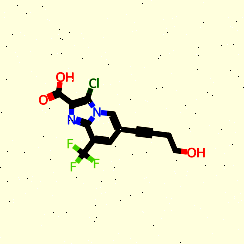 O=C(O)c1nc2c(C(F)(F)F)cc(C#CCCO)cn2c1Cl